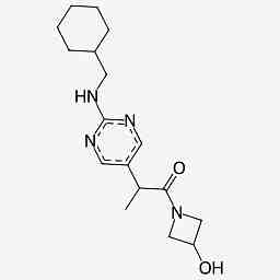 CC(C(=O)N1CC(O)C1)c1cnc(NCC2CCCCC2)nc1